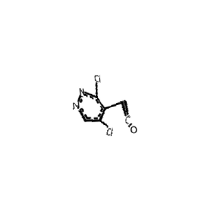 O=C=Cc1c(Cl)cnnc1Cl